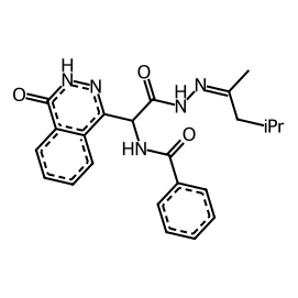 CC(CC(C)C)=NNC(=O)C(NC(=O)c1ccccc1)c1n[nH]c(=O)c2ccccc12